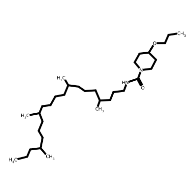 CCCOC1CCN(C(=O)NCCCC(C)CCCC(C)CCCCC(C)CCCC(C)CCC)CC1